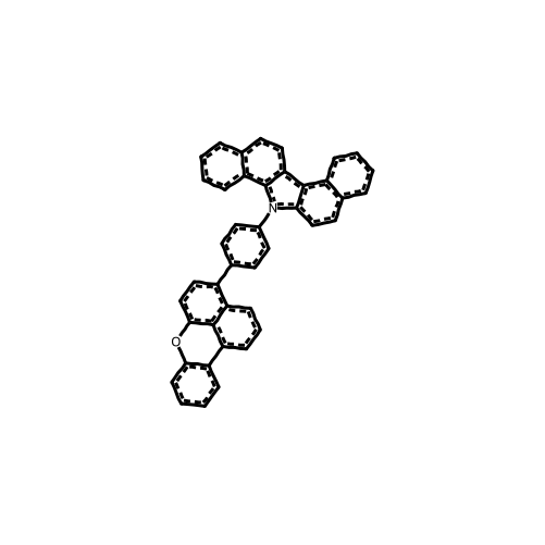 c1ccc2c(c1)Oc1ccc(-c3ccc(-n4c5ccc6ccccc6c5c5ccc6ccccc6c54)cc3)c3cccc-2c13